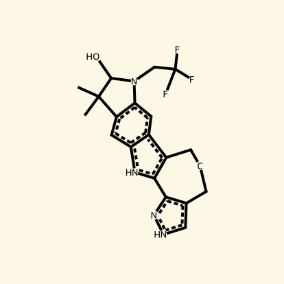 CC1(C)c2cc3[nH]c4c(c3cc2N(CC(F)(F)F)C1O)CCCc1c[nH]nc1-4